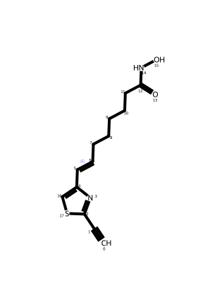 C#Cc1nc(/C=C/CCCCCC(=O)NO)cs1